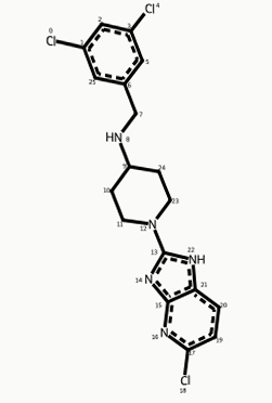 Clc1cc(Cl)cc(CNC2CCN(c3nc4nc(Cl)ccc4[nH]3)CC2)c1